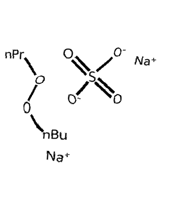 CCCCOOCCC.O=S(=O)([O-])[O-].[Na+].[Na+]